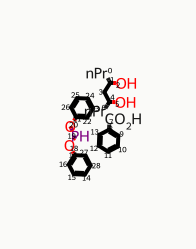 CCCC(O)CC(O)CCC.O=C(O)c1ccccc1.c1ccc(OPOc2ccccc2)cc1